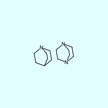 C1CN2CCC1CC2.C1CN2CCN1CC2